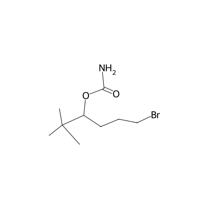 CC(C)(C)C(CCCBr)OC(N)=O